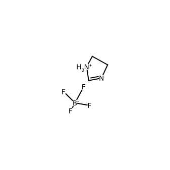 C1=NCC[NH2+]1.F[B-](F)(F)F